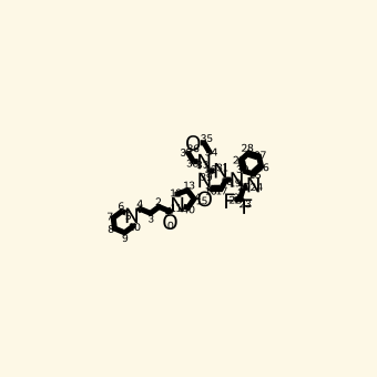 O=C(CCCN1CCCCC1)N1CC[C@H](Oc2cc(-n3c(C(F)F)nc4ccccc43)nc(N3CCOCC3)n2)C1